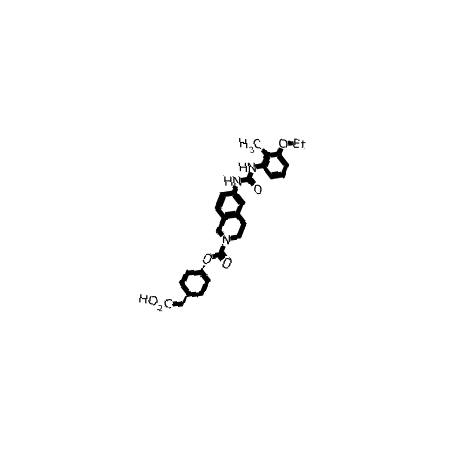 CCOc1cccc(NC(=O)Nc2ccc3c(c2)CCN(C(=O)O[C@H]2CC[C@H](CC(=O)O)CC2)C3)c1C